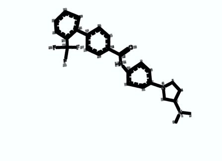 CN(C)C1CCN(c2ccc(NC(=O)c3ccc(-c4ccccc4C(F)(F)F)cc3)cc2)C1